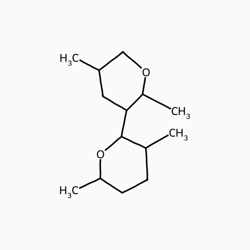 CC1COC(C)C(C2OC(C)CCC2C)C1